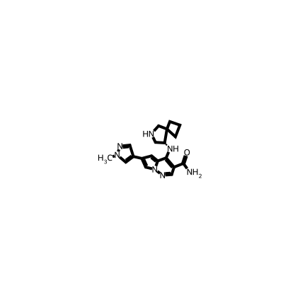 Cn1cc(-c2cc3c(N[C@@H]4CNCC45CCC5)c(C(N)=O)cnn3c2)cn1